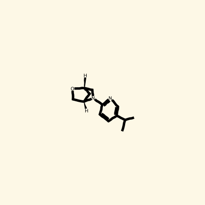 CC(C)c1ccc(N2C[C@@H]3C[C@H]2CO3)nc1